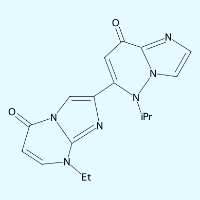 CCn1ccc(=O)n2cc(-c3cc(=O)c4nccn4n3C(C)C)nc12